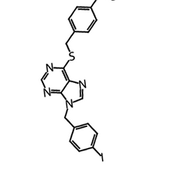 O=Nc1ccc(CSc2ncnc3c2ncn3Cc2ccc(I)cc2)cc1